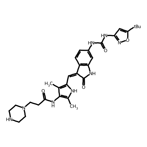 Cc1[nH]c(/C=C2\C(=O)Nc3cc(NC(=O)Nc4cc(C(C)(C)C)on4)ccc32)c(C)c1NC(=O)CCN1CCNCC1